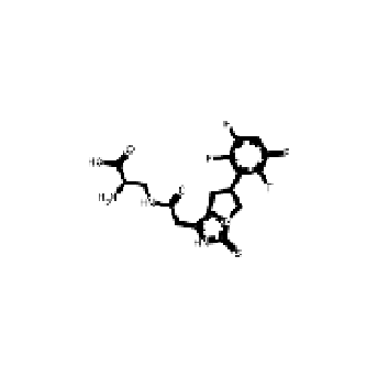 NC(CNC(=O)Cc1[nH]c(=S)n2c1CC(c1c(F)c(F)cc(F)c1F)C2)C(=O)O